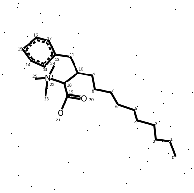 CCCCCCCCCCC(Cc1ccccc1)C(C(=O)[O-])[N+](C)(C)C